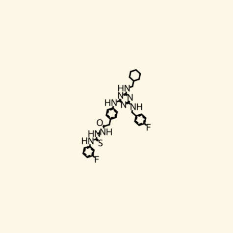 O=C(Cc1ccc(Nc2nc(NCc3ccc(F)cc3)nc(NCC3CCCCC3)n2)cc1)NNC(=S)Nc1cccc(F)c1